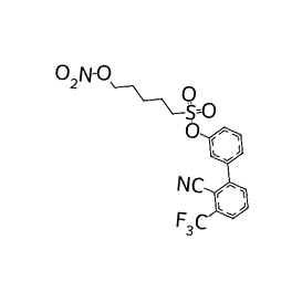 N#Cc1c(-c2cccc(OS(=O)(=O)CCCCCO[N+](=O)[O-])c2)cccc1C(F)(F)F